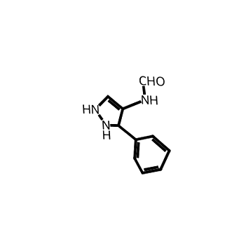 O=CNC1=CNNC1c1ccccc1